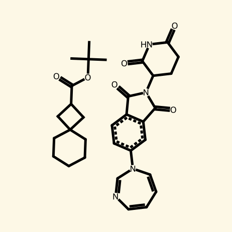 CC(C)(C)OC(=O)C1CC2(CCCCC2)C1.O=C1CCC(N2C(=O)c3ccc(N4C=CC=CN=C4)cc3C2=O)C(=O)N1